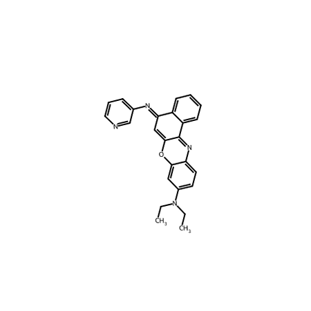 CCN(CC)c1ccc2nc3c4ccccc4c(=Nc4cccnc4)cc-3oc2c1